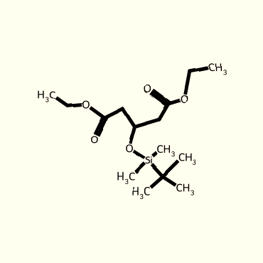 CCOC(=O)CC(CC(=O)OCC)O[Si](C)(C)C(C)(C)C